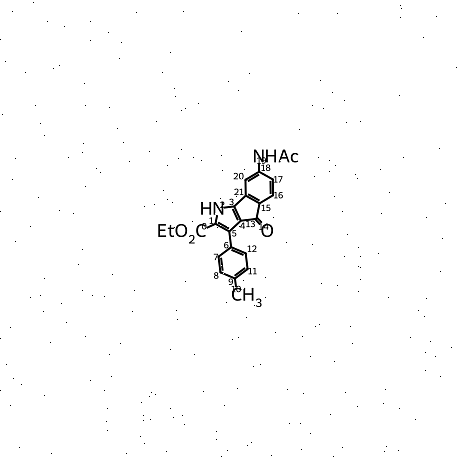 CCOC(=O)c1[nH]c2c(c1-c1ccc(C)cc1)C(=O)c1ccc(NC(C)=O)cc1-2